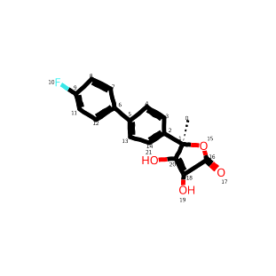 C[C@]1(c2ccc(-c3ccc(F)cc3)cc2)OC(=O)C(O)=C1O